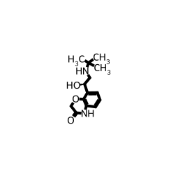 CC(C)(C)NC[C@H](O)c1cccc2c1OCC(=O)N2